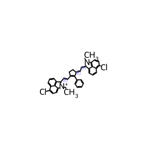 CCn1/c(=C/C=C2\CCC(/C=C/C3=[N+](CC)c4ccc(Cl)c5cccc3c45)=C2c2ccccc2)c2cccc3c(Cl)ccc1c32